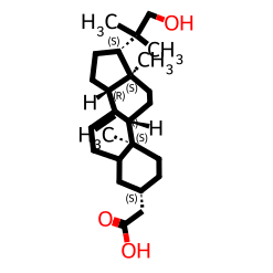 CC(C)(CO)[C@H]1CC[C@H]2C3=CCC4C[C@@H](CC(=O)O)CC[C@]4(C)[C@H]3CC[C@]12C